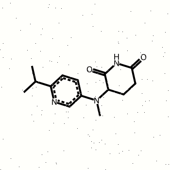 CC(C)c1ccc(N(C)C2CCC(=O)NC2=O)cn1